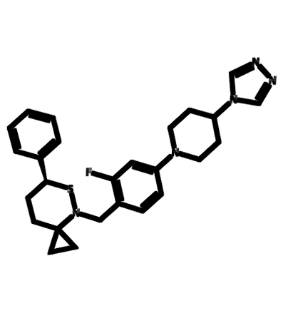 Fc1cc(N2CCC(n3cnnc3)CC2)ccc1CN1S[C@H](c2ccccc2)CCC12CC2